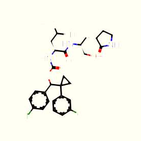 CC(C)C[C@H](NC(=O)OC(c1ccc(Cl)cc1)C1(c2cccc(Cl)c2)CC1)C(=O)N[C@H](CO)C[C@@H]1CCNC1=O